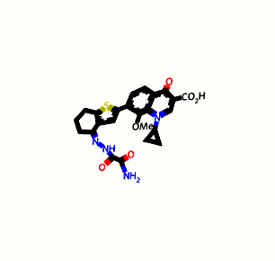 COc1c(-c2cc3c(s2)CCC/C3=N/NC(=O)C(N)=O)ccc2c(=O)c(C(=O)O)cn(C3CC3)c12